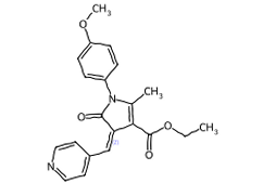 CCOC(=O)C1=C(C)N(c2ccc(OC)cc2)C(=O)/C1=C\c1ccncc1